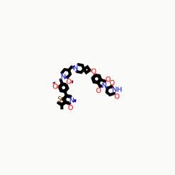 COc1cc(-c2cn(C)c(=O)c3c(C)csc23)cc(OC)c1CN1CCC(CN2CCC3(CC2)CC(Oc2ccc4c(c2)C(=O)N(C2CCC(=O)NC2=O)C4=O)C3)CC1